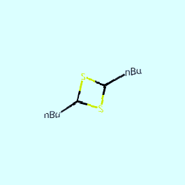 CCCCC1SC(CCCC)S1